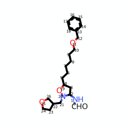 O=CNC1CC(CCCCCCOCc2ccccc2)ON1CC1CCOC1